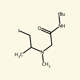 CC(CI)N(C)CC(=O)NC(C)(C)C